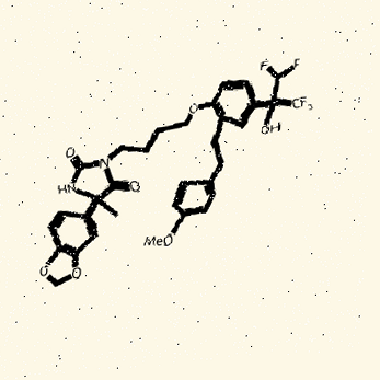 COc1ccc(CCc2cc(C(O)(C(F)F)C(F)(F)F)ccc2OCCCCN2C(=O)NC(C)(c3ccc4c(c3)OCO4)C2=O)cc1